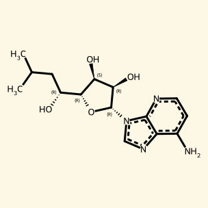 CC(C)C[C@@H](O)[C@H]1O[C@@H](n2cnc3c(N)ccnc32)[C@H](O)[C@@H]1O